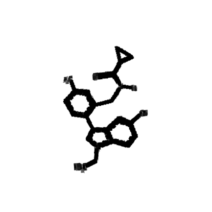 CCN(Cc1cc(C(F)(F)F)ccc1-c1cn(CC(=O)O)c2ccc(C#N)cc12)C(=O)C1CC1